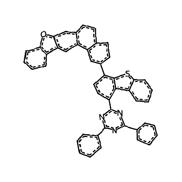 c1ccc(-c2nc(-c3ccccc3)nc(-c3ccc(-c4ccc5ccc6cc7oc8ccccc8c7cc6c5c4)c4sc5ccccc5c34)n2)cc1